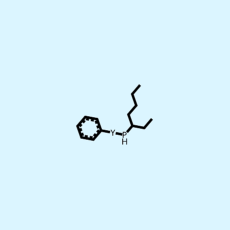 CCCCC(CC)[PH][Y][c]1ccccc1